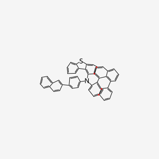 c1ccc(-c2cccc3cccc(-c4ccccc4N(c4ccc(-c5ccc6ccccc6c5)cc4)c4cccc5sc6ccccc6c45)c23)cc1